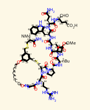 CCCC[C@H](NC(=O)[C@@H]1CCCN1C(=O)[C@@H]1CSCc2cc(CSC[C@H](NC)C(N)=O)cc(c2)OCCCCCCO/N=C/C(=O)N[C@@H](CCCNC(=N)N)C(=O)N1)C(=O)N[C@@H](CC(=O)OOC)C(=O)N[C@@H](CC1CCC1)C(=O)N[C@@H](Cc1c[nH]c2ccccc12)C(=O)N[C@@H](CCC(N)=O)C(=O)N[C@H](C=O)CCC(=O)O